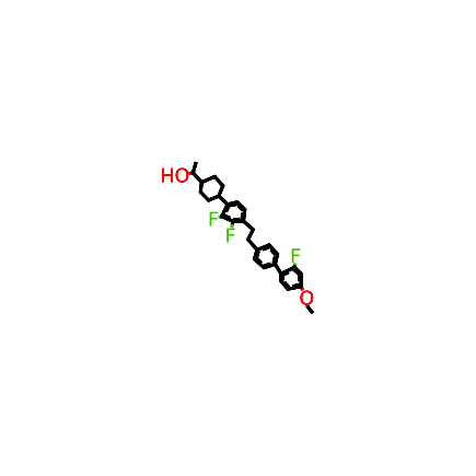 CCOc1ccc(-c2ccc(CCc3ccc(C4CCC(C(C)O)CC4)c(F)c3F)cc2)c(F)c1